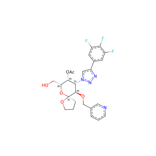 CC(=O)O[C@@H]1[C@H](n2cc(-c3cc(F)c(F)c(F)c3)nn2)[C@@H](OCc2cccnc2)[C@]2(CCCO2)O[C@@H]1CO